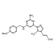 COc1ccc(CNc2cc(-n3ncc(/C=C/C=O)c3C)nc(N)n2)cc1